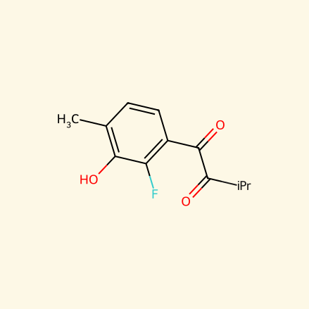 Cc1ccc(C(=O)C(=O)C(C)C)c(F)c1O